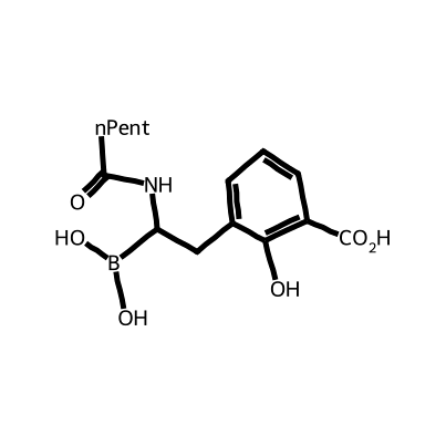 CCCCCC(=O)NC(Cc1cccc(C(=O)O)c1O)B(O)O